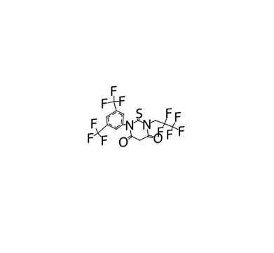 O=C1CC(=O)N(c2cc(C(F)(F)F)cc(C(F)(F)F)c2)C(=S)N1CC(F)(F)C(F)(F)F